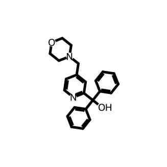 OC(c1ccccc1)(c1ccccc1)c1cc(CN2CCOCC2)ccn1